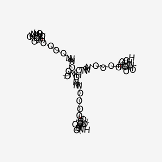 CC(=O)N[C@H]1[C@@H]2OC[C@](COCCOCCOCCOCCn3cc(COCC(COCc4cn(CCOCCOCCOCCOC[C@@]56CO[C@H](O5)[C@H](NC(C)=O)[C@H]5OC(C)(C)O[C@H]56)nn4)(COCc4cn(CCOCCOCCOCCOC[C@@]56CO[C@@H](O5)[C@H](NC(C)=O)[C@H]5OC(C)(C)O[C@H]56)nn4)NC(=O)OC(C)(C)C)nn3)(O2)[C@@H]2OC(C)(C)O[C@H]12